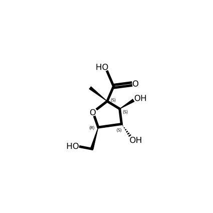 C[C@]1(C(=O)O)O[C@H](CO)[C@@H](O)[C@@H]1O